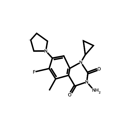 Cc1c(F)c(N2C[CH]CC2)cc2c1c(=O)n(N)c(=O)n2C1CC1